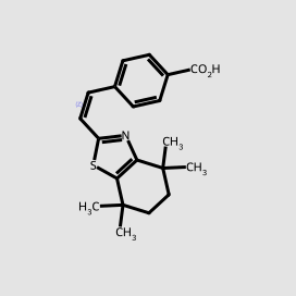 CC1(C)CCC(C)(C)c2sc(/C=C\c3ccc(C(=O)O)cc3)nc21